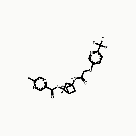 Cc1cnc(C(=O)N[C@@H]2CC3(NC(=O)COc4ccc(C(F)(F)F)nc4)CC2C3)cn1